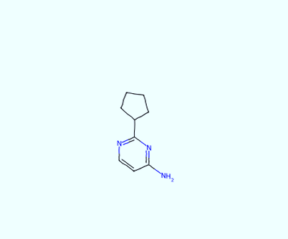 Nc1ccnc(C2CCCC2)n1